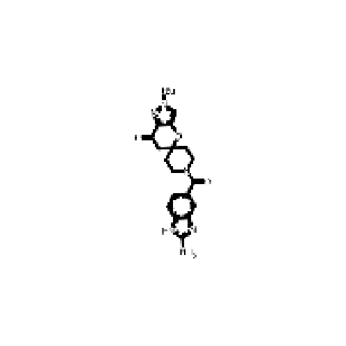 CC(C)(C)n1cc2c(n1)C(=O)CC1(CCN(C(=O)c3ccc4[nH]c(N)nc4c3)CC1)O2